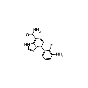 NC(=O)c1ccc(-c2cccc(N)c2F)c2cc[nH]c12